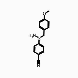 COc1ccc(CN(N)c2ccc(C#N)cc2)cc1